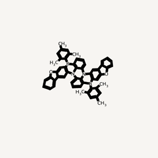 Cc1cc(C)c(B2c3cc4oc5ccccc5c4cc3N3c4cccc5c4N(c4cc6c(cc4B5c4c(C)cc(C)cc4C)oc4ccccc46)c4cccc2c43)c(C)c1